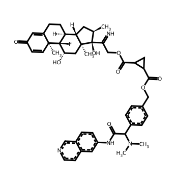 C[C@@H]1C[C@H]2[C@@H]3CCC4=CC(=O)C=C[C@]4(C)[C@@]3(F)[C@@H](O)C[C@]2(C)[C@@]1(O)C(=N)COC(=O)C1CC1C(=O)OCc1ccc(C(C(=O)Nc2ccc3cnccc3c2)N(C)C)cc1